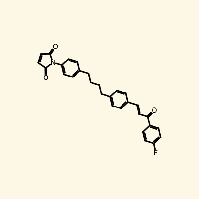 O=C(C=Cc1ccc(CCCCc2ccc(N3C(=O)C=CC3=O)cc2)cc1)c1ccc(F)cc1